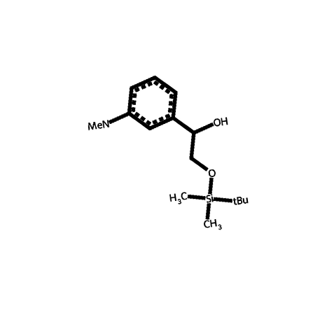 CNc1cccc(C(O)CO[Si](C)(C)C(C)(C)C)c1